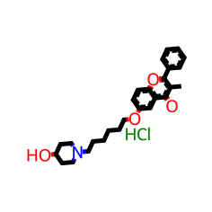 Cc1c(-c2ccccc2)oc2ccc(OCCCCCCN3CCC(O)CC3)cc2c1=O.Cl